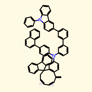 C=C1/C=C\C=C/CC2(c3cc(N(c4ccc(-c5cccc6ccccc56)cc4)c4cccc(-c5cccc(-c6ccc7c(c6)c6ccccc6n7-c6ccccc6)c5)c4)ccc31)c1ccccc1-c1ccccc12